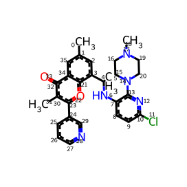 Cc1cc(C(C)Nc2ccc(Cl)nc2N2CCN(C)CC2)c2oc(-c3cccnc3)c(C)c(=O)c2c1